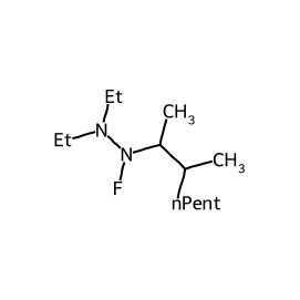 CCCCCC(C)C(C)N(F)N(CC)CC